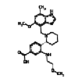 COCCNc1cc(C(=O)O)ccc1[C@H]1CCCCN1Cc1c(OC)cc(C)c2[nH]ccc12